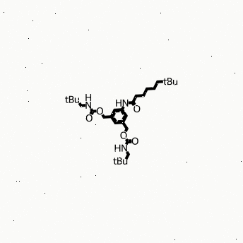 CC(C)(C)CCCCCC(=O)Nc1cc(COC(=O)NCC(C)(C)C)cc(COC(=O)NCC(C)(C)C)c1